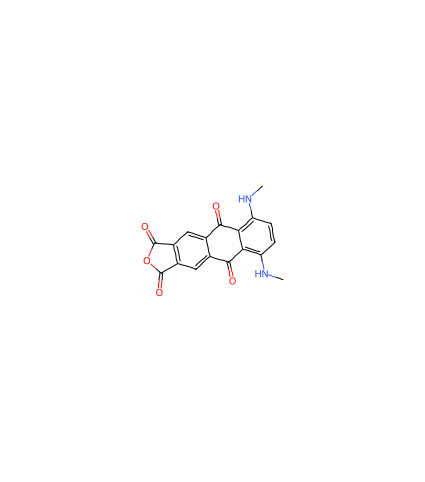 CNc1ccc(NC)c2c(=O)c3cc4c(=O)oc(=O)c4cc3c(=O)c12